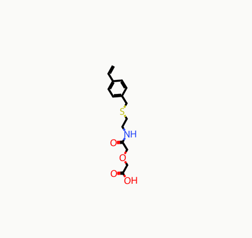 C=Cc1ccc(CSCCNC(=O)COCC(=O)O)cc1